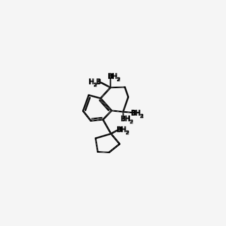 BC1(B)CCC(B)(B)c2c1cccc2C1(B)CCCC1